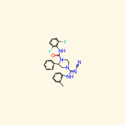 Cc1ccccc1N/C(=N/C#N)N1CCN(C(=O)Nc2c(F)cccc2F)C(c2ccccc2)C1